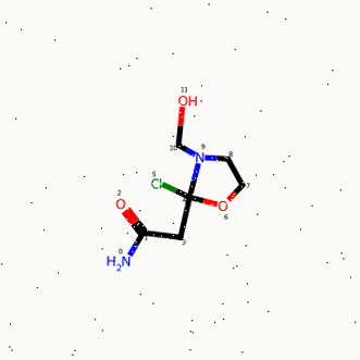 NC(=O)CC1(Cl)OCCN1CO